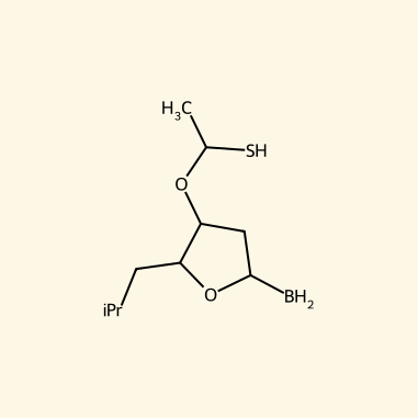 BC1CC(OC(C)S)C(CC(C)C)O1